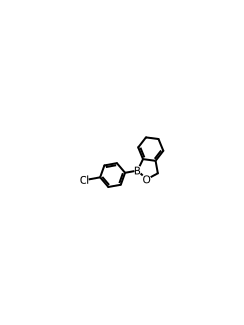 Clc1ccc(B2OCC3=CCCC=C23)cc1